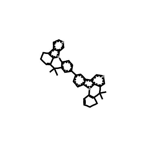 CC1(C)C2=CCCc3c2n(c2cnccc32)-c2ccc(-c3ccc4c(c3)c3cncc5c3n4C3=C(CCC=C3)C5(C)C)cc21